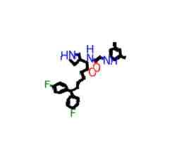 Cc1cc(C)cc(NCC(=O)NC(C(=O)CCCCC(c2ccc(F)cc2)c2ccc(F)cc2)C2CCNC2)c1